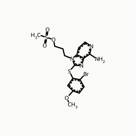 COc1ccc(Br)c(Sc2nc3c(N)nccc3n2CCCOS(C)(=O)=O)c1